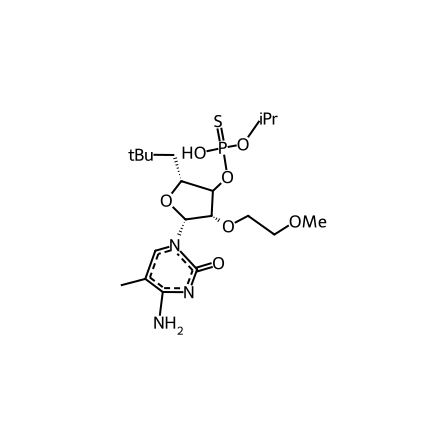 COCCO[C@H]1C(OP(O)(=S)OC(C)C)[C@@H](CC(C)(C)C)O[C@H]1n1cc(C)c(N)nc1=O